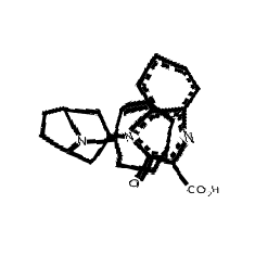 O=C(O)c1nc2ccccc2n(C2CC3CCC(C2)N3C2C=CCCCC2)c1=O